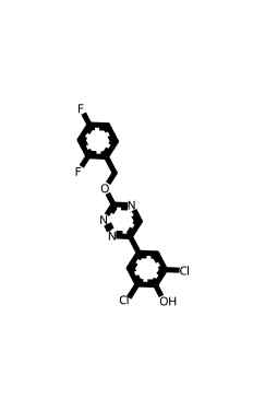 Oc1c(Cl)cc(-c2cnc(OCc3ccc(F)cc3F)nn2)cc1Cl